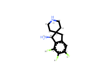 N[C@@H]1c2c(cc(F)c(F)c2F)CC12CCNCC2